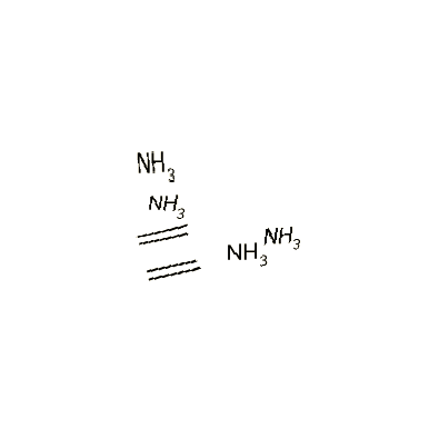 C=C.C=C.N.N.N.N